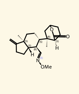 C=C1CC[C@H]2[C@H](/C=N/OC)[C@@H]([C@@]3(C)CC4CC[C@@H]3C(=O)O4)CC[C@]12C